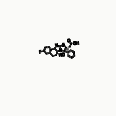 O=C(O)C[C@H]1SC2=NC3c4ccc(F)cc4CCC3N2[C@]1(O)c1ccccc1